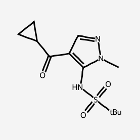 Cn1ncc(C(=O)C2CC2)c1NS(=O)(=O)C(C)(C)C